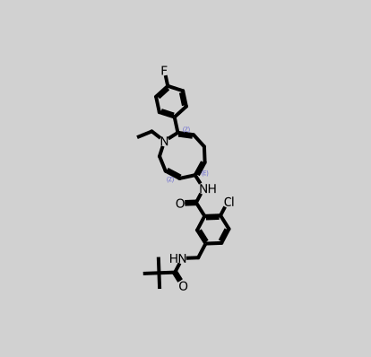 CCN1C/C=C\C(NC(=O)c2cc(CNC(=O)C(C)(C)C)ccc2Cl)=C/C/C=C\1c1ccc(F)cc1